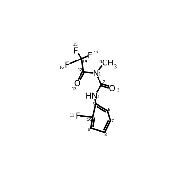 CN(C(=O)Nc1ccccc1F)C(=O)C(F)(F)F